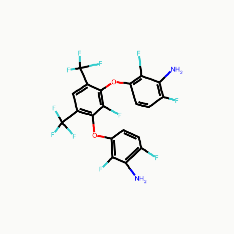 Nc1c(F)ccc(Oc2c(C(F)(F)F)cc(C(F)(F)F)c(Oc3ccc(F)c(N)c3F)c2F)c1F